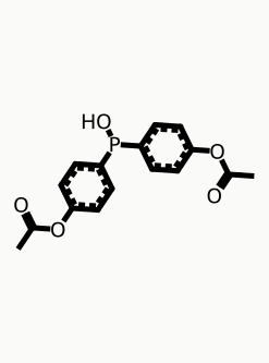 CC(=O)Oc1ccc(P(O)c2ccc(OC(C)=O)cc2)cc1